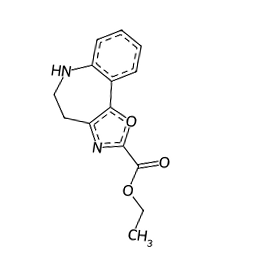 CCOC(=O)c1nc2c(o1)-c1ccccc1NCC2